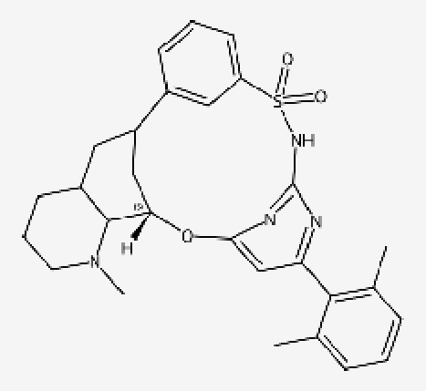 Cc1cccc(C)c1-c1cc2nc(n1)NS(=O)(=O)c1cccc(c1)C1CC3CCCN(C)C3[C@H](C1)O2